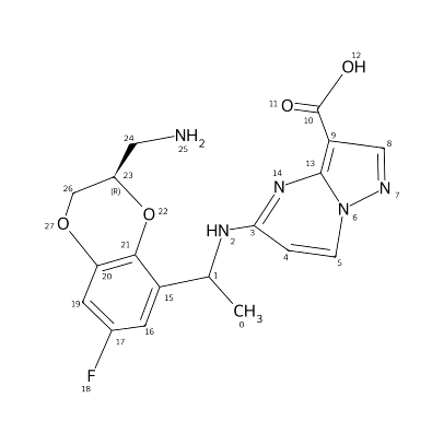 CC(Nc1ccn2ncc(C(=O)O)c2n1)c1cc(F)cc2c1O[C@H](CN)CO2